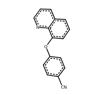 N#Cc1ccc(Oc2cccc3cccnc23)cc1